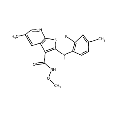 CONC(=O)c1c(Nc2ccc(C)cc2F)sc2ncc(C)cc12